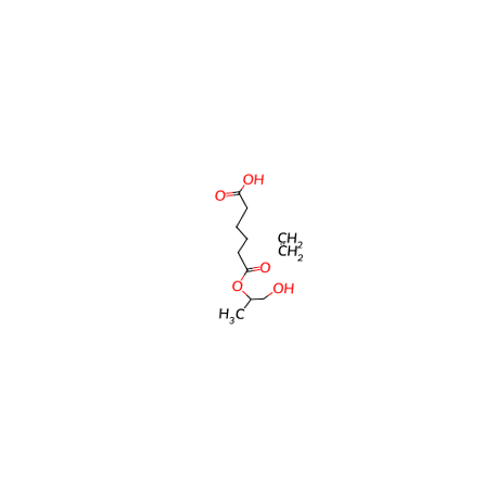 C=C.CC(CO)OC(=O)CCCCC(=O)O